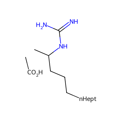 CC(=O)O.CCCCCCCCCCC(C)NC(=N)N